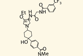 CCO[C@@H]1CN(C2CCC(O)(c3ccc(C(=O)NC)cc3)CC2)C[C@@H]1NC(=O)CNC(=O)c1cccc(C(F)(F)F)c1